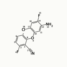 N#Cc1c(F)cccc1Oc1cc(N)c(F)cc1Cl